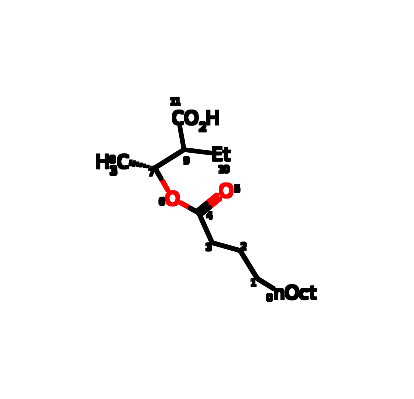 CCCCCCCCCCCC(=O)O[C@H](C)C(CC)C(=O)O